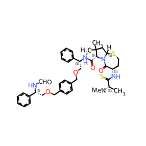 CN[C@@H](C)C(=S)N[C@H]1CCS[C@H]2CC(C)(C)[C@@H](C(=O)N[C@H](COCc3ccc(COC[C@@H](NC=O)c4ccccc4)cc3)c3ccccc3)N2C1=O